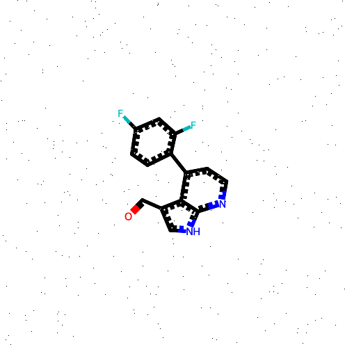 O=Cc1c[nH]c2nccc(-c3ccc(F)cc3F)c12